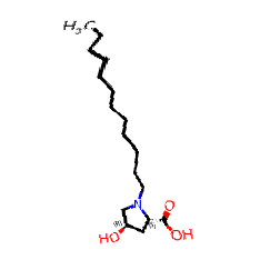 CCCCCCCCCCCCN1C[C@H](O)C[C@H]1C(=O)O